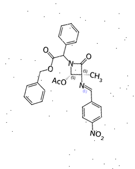 CC(=O)O[C@@H]1N(C(C(=O)OCc2ccccc2)c2ccccc2)C(=O)[C@@]1(C)/N=C/c1ccc([N+](=O)[O-])cc1